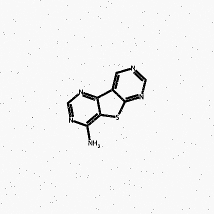 Nc1ncnc2c1sc1ncncc12